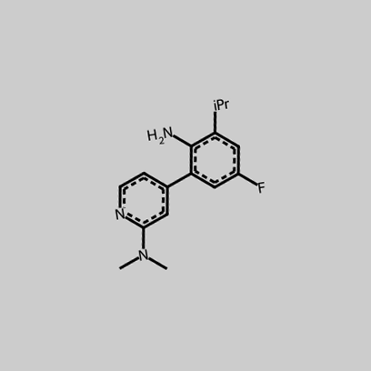 CC(C)c1cc(F)cc(-c2ccnc(N(C)C)c2)c1N